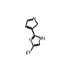 CCc1c[nH]c(C2=CC=NC2)n1